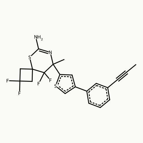 CC#Cc1cccc(-c2csc(C3(C)N=C(N)SC4(CC(F)(F)C4)C3(F)F)c2)c1